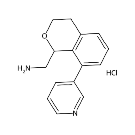 Cl.NCC1OCCc2cccc(-c3cccnc3)c21